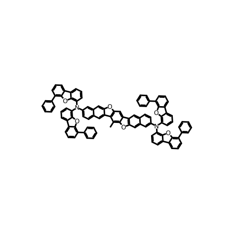 Cc1c2oc3cc4cc(N(c5cccc6c5oc5c(-c7ccccc7)cccc56)c5cccc6c5oc5c(-c7ccccc7)cccc56)ccc4cc3c2cc2oc3cc4cc(N(c5cccc6c5oc5c(-c7ccccc7)cccc56)c5cccc6c5oc5c(-c7ccccc7)cccc56)ccc4cc3c12